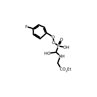 CCOC(=O)CNC(O)P(=O)(O)OOc1ccc(F)cc1